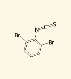 S=C=Nc1c(Br)cccc1Br